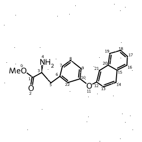 COC(=O)[C@@H](N)Cc1cccc(Oc2ccc3ccccc3c2)c1